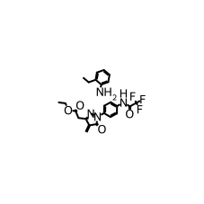 C=C1C(=O)N(c2ccc(NC(=O)C(F)(F)F)cc2)N=C1CC(=O)OCC.CCc1ccccc1N